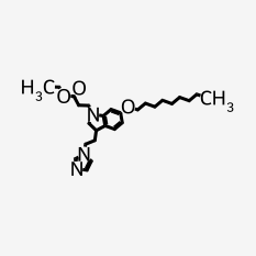 CCCCCCCCCOc1ccc2c(c1)N(CCC(=O)OCC)CC2CCn1ccnc1